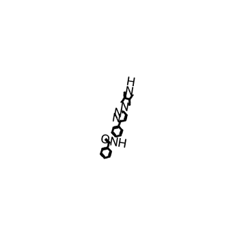 O=C(Nc1ccc(-c2ccc(N3CC4=CNCC4C3)nn2)cc1)c1ccccc1